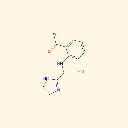 CCC(=O)c1ccccc1NCC1=NCCN1.Cl